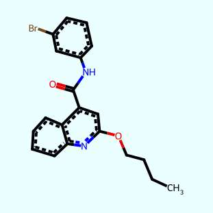 CCCCOc1cc(C(=O)Nc2cccc(Br)c2)c2ccccc2n1